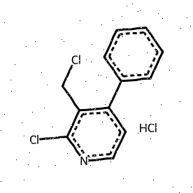 Cl.ClCc1c(-c2ccccc2)ccnc1Cl